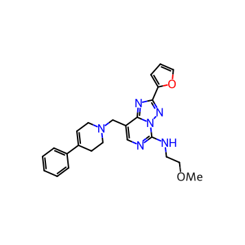 COCCNc1ncc(CN2CC=C(c3ccccc3)CC2)c2nc(-c3ccco3)nn12